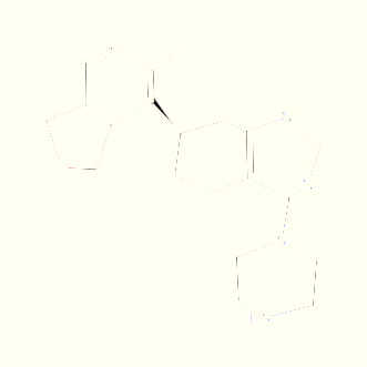 Cc1ccc2c(c1[C@@H]1CCc3c(ncnc3N3CCNCC3)C1)COC2